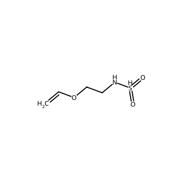 C=COCCN[SH](=O)=O